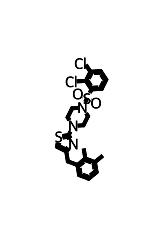 Cc1cccc(Cc2csc(N3CCN(S(=O)(=O)c4cccc(Cl)c4Cl)CC3)n2)c1C